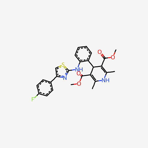 COC(=O)C1=C(C)NC(C)=C(C(=O)OC)C1c1ccccc1Nc1nc(-c2ccc(F)cc2)cs1